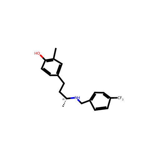 Cc1cc(CC[C@@H](C)NCc2ccc(C(F)(F)F)cc2)ccc1O